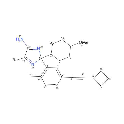 COC1CCC(C2(c3cc(C#CC4CCC4)ccc3C)N=C(C)C(N)=N2)CC1